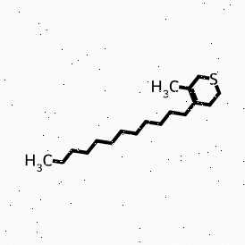 CCCCCCCCCCCCC1=C(C)CSCC1